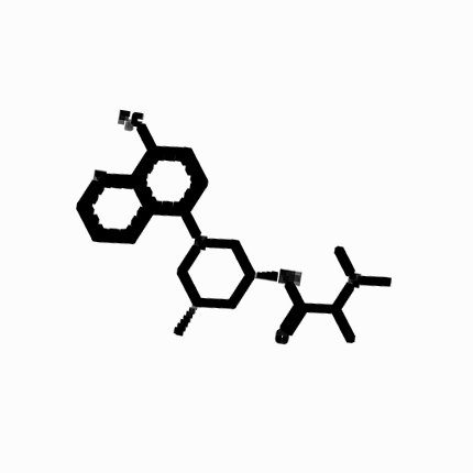 CC(C(=O)N[C@@H]1C[C@H](C)CN(c2ccc(C(F)(F)F)c3ncccc23)C1)N(C)C